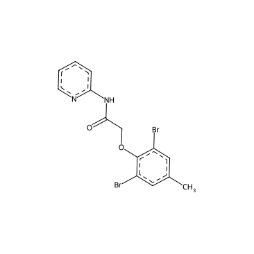 Cc1cc(Br)c(OCC(=O)Nc2ccccn2)c(Br)c1